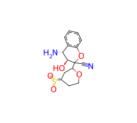 N#CC1(C2CC(=S(=O)=O)CCO2)Oc2ccccc2[C@@H](N)[C@@H]1O